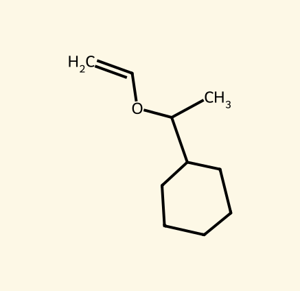 C=COC(C)C1CCCCC1